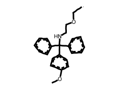 [CH2]COCCNC(c1ccccc1)(c1ccccc1)c1ccc(OC)cc1